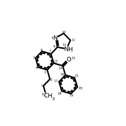 CCCc1cccc(C2=NCCN2)c1C(=O)c1ccccc1